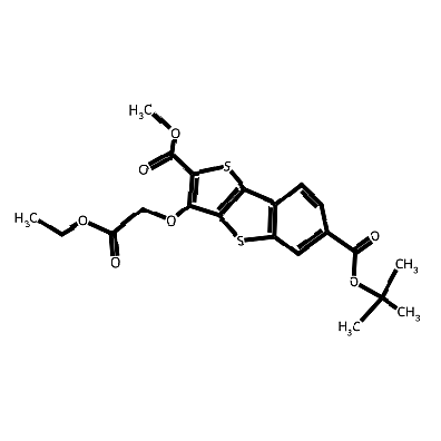 CCOC(=O)COc1c(C(=O)OC)sc2c1sc1cc(C(=O)OC(C)(C)C)ccc12